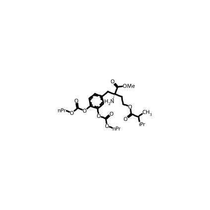 CCCOC(=O)Oc1ccc(C[C@](N)(CCOC(=O)C(C)C(C)C)C(=O)OC)cc1OC(=O)OCCC